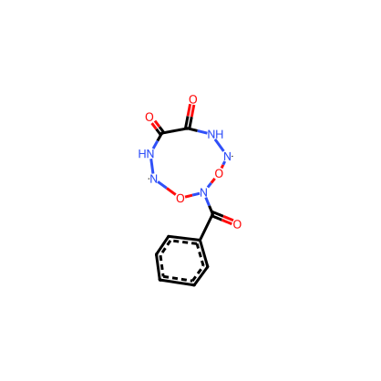 O=C1N[N]ON(C(=O)c2ccccc2)O[N]NC1=O